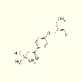 CC/C(=C/F)COc1ccc(C(=O)CC(C)(C)C)cc1